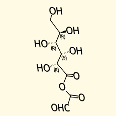 O=CC(=O)OC(=O)[C@H](O)[C@@H](O)[C@H](O)[C@H](O)CO